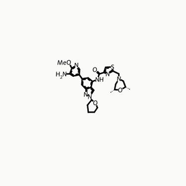 COc1ncc(-c2cc(NC(=O)c3csc(CN4C[C@@H](C)O[C@@H](C)C4)n3)c3cn(C4CCCCO4)nc3c2)cc1N